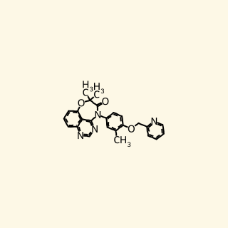 Cc1cc(N2C(=O)C(C)(C)Oc3cccc4ncnc2c34)ccc1OCc1ccccn1